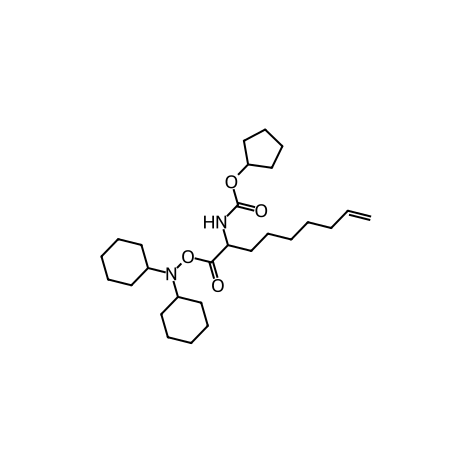 C=CCCCCCC(NC(=O)OC1CCCC1)C(=O)ON(C1CCCCC1)C1CCCCC1